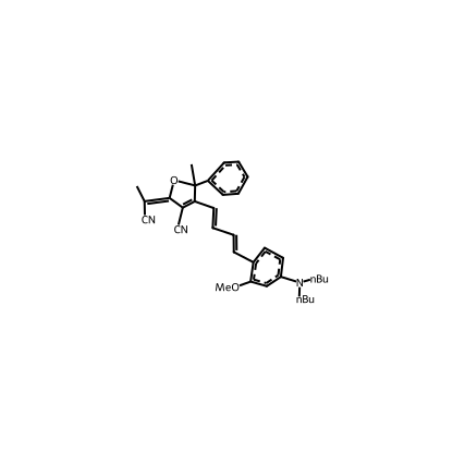 CCCCN(CCCC)c1ccc(/C=C/C=C/C2=C(C#N)C(=C(/C)C#N)/OC2(C)c2ccccc2)c(OC)c1